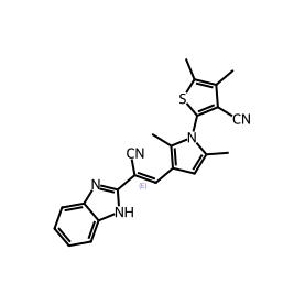 Cc1sc(-n2c(C)cc(/C=C(\C#N)c3nc4ccccc4[nH]3)c2C)c(C#N)c1C